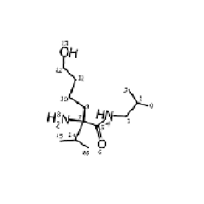 CC(C)CNC(=O)C(N)(CCCCO)C(C)C